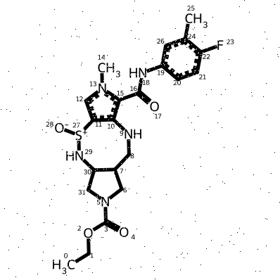 CCOC(=O)N1CC2CNc3c(cn(C)c3C(=O)Nc3ccc(F)c(C)c3)[S+]([O-])NC2C1